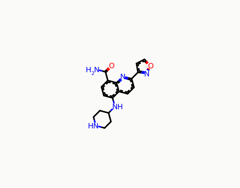 NC(=O)c1ccc(NC2CCNCC2)c2ccc(-c3ccon3)nc12